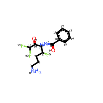 NCCCC(F)C(NC(=O)c1ccccc1)C(=O)C(F)F